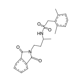 Cc1cccc(C)c1CS(=O)(=O)NC(C)CCN1C(=O)c2ccccc2C1=O